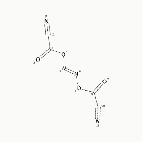 N#CC(=O)ON=NOC(=O)C#N